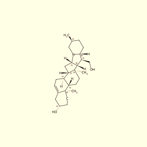 C[C@H]1CC[C@@H]2[C@@H](CO)[C@H]3[C@H](C[C@H]4[C@@H]5CC=C6C[C@@H](O)CC[C@]6(C)[C@H]5CC[C@]34C)N2C1